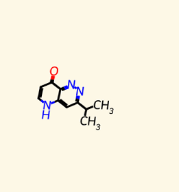 CC(C)c1cc2[nH]ccc(=O)c2nn1